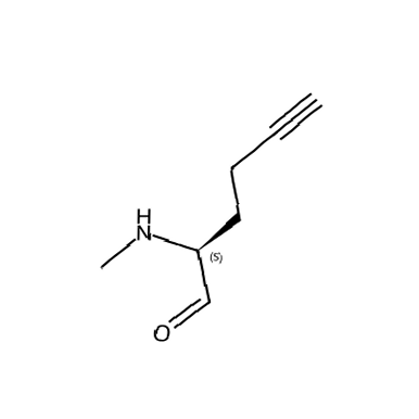 C#CCC[C@@H](C=O)NC